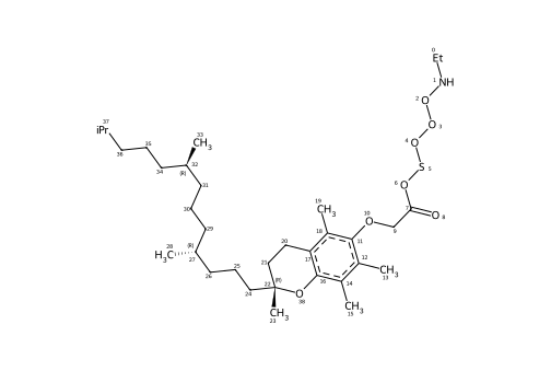 CCNOOOSOC(=O)COc1c(C)c(C)c2c(c1C)CC[C@@](C)(CCC[C@H](C)CCC[C@H](C)CCCC(C)C)O2